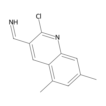 Cc1cc(C)c2cc(C=N)c(Cl)nc2c1